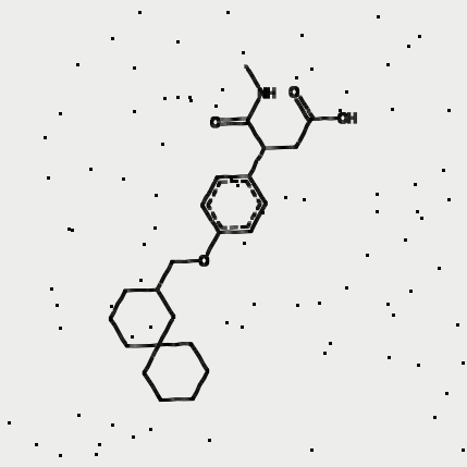 CNC(=O)C(CC(=O)O)c1ccc(OCC2CCCC3(CCCCC3)C2)cc1